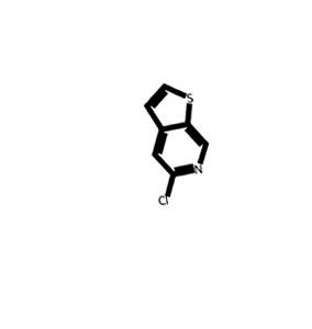 Clc1cc2c[c]sc2cn1